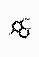 COc1ccc(Br)c2cccnc12